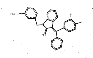 O=C(O)c1cccc(CN2C(=O)/C(=C(\c3ccccc3)c3ccc(F)c(F)c3)c3ccccc32)c1